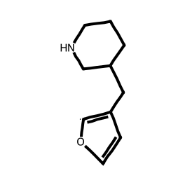 [c]1occc1CC1CCCNC1